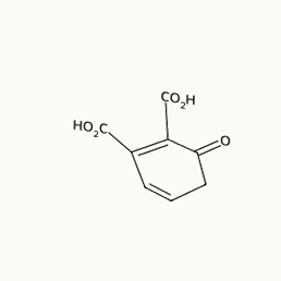 O=C(O)C1=C(C(=O)O)C(=O)CC=C1